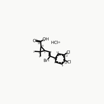 CC1(C)C(C=C(Br)c2ccc(Cl)c(Cl)c2)C1C(=O)O.Cl